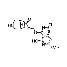 CSc1nc(O)c2c(OCOC(=O)N3C4CCC3CNC4)nc(Cl)cc2n1